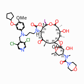 COc1ccc(N(CCCN2C(=O)O[C@]3(C)[C@@H](I)OC(=O)[C@H](C)[C@@H](O)[C@H](C)[C@@H](O[C@@H]4O[C@H](C)C[C@H](N(C)C(=O)N5CCOCC5)[C@H]4O)[C@](C)(OC)C[C@@H](C)C(=O)[C@H](C)[C@@H]23)Cc2c(Cl)cncc2Cl)cc1OC1CCCC1